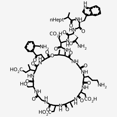 CCCCCCCC(C)C(=O)N[C@@H](Cc1c[nH]c2ccccc12)C(=O)N[C@H](CC(N)=O)C(=O)NC(CC(=O)O)C(=O)NC1C(=O)NCC(=O)NC(CCCN)C(=O)NC(CC(=O)O)C(=O)NC(C)C(=O)NC(CC(=O)O)C(=O)NCC(=O)NC(CO)C(=O)NC(C(C)CC(=O)O)C(=O)NC(CC(=O)c2ccccc2N)C(=O)OC1C